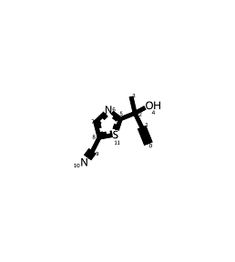 C#CC(C)(O)c1ncc(C#N)s1